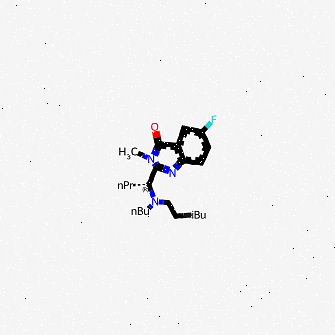 CCCCN(CCC(C)CC)[C@H](CCC)c1nc2ccc(F)cc2c(=O)n1C